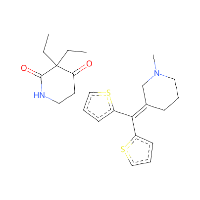 CCC1(CC)C(=O)CCNC1=O.CN1CCCC(=C(c2cccs2)c2cccs2)C1